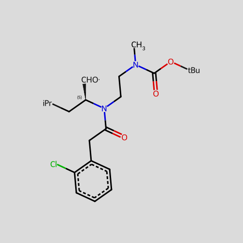 CC(C)C[C@@H]([C]=O)N(CCN(C)C(=O)OC(C)(C)C)C(=O)Cc1ccccc1Cl